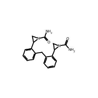 NC(=O)N1CC1c1ccccc1Cc1ccccc1C1CN1C(N)=O